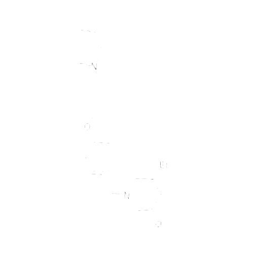 CCC1CC(=O)CN(Cc2ccc(OCCCN3CCCCC3)cc2)C1